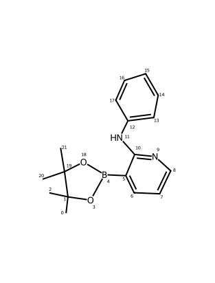 CC1(C)OB(c2cccnc2Nc2ccccc2)OC1(C)C